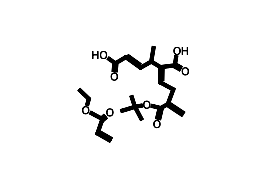 C=C(CC=C(C(=O)O)C(C)C=CC(=O)O)C(=O)OC(C)(C)C.C=CC(=O)OCC